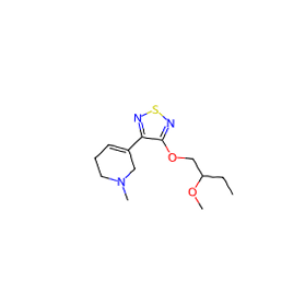 CCC(COc1nsnc1C1=CCCN(C)C1)OC